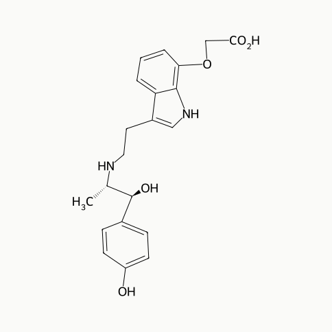 C[C@H](NCCc1c[nH]c2c(OCC(=O)O)cccc12)[C@@H](O)c1ccc(O)cc1